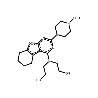 O=CN1CCN(c2nc(N(CCO)CCO)c3c4c(sc3n2)CCCC4)CC1